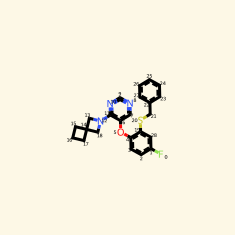 Fc1ccc(Oc2cncnc2N2CC3(CCC3)C2)c(SCc2ccccc2)c1